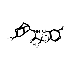 CC(C)(Oc1ccc(F)cc1Cl)C(=S)NC1C2CC3CC1CC(O)(C3)C2